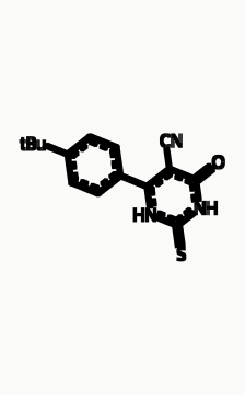 CC(C)(C)c1ccc(-c2[nH]c(=S)[nH]c(=O)c2C#N)cc1